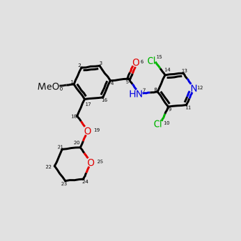 COc1ccc(C(=O)Nc2c(Cl)cncc2Cl)cc1COC1CCCCO1